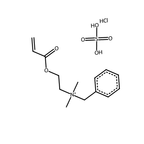 C=CC(=O)OCC[N+](C)(C)Cc1ccccc1.Cl.O=S(=O)(O)O